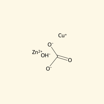 O=C([O-])[O-].[Cu+].[OH-].[Zn+2]